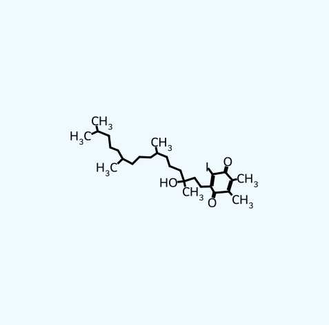 CC1=C(C)C(=O)C(CCC(C)(O)CCCC(C)CCCC(C)CCCC(C)C)=C(I)C1=O